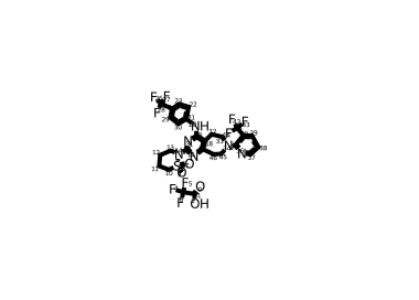 O=C(O)C(F)(F)F.O=S1(=O)CCCCN1c1nc2c(c(Nc3ccc(C(F)(F)F)cc3)n1)CCN(c1ncccc1C(F)(F)F)CC2